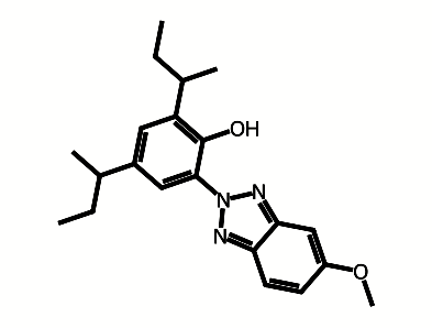 CCC(C)c1cc(C(C)CC)c(O)c(-n2nc3ccc(OC)cc3n2)c1